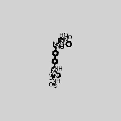 COC(=O)N[C@@H](C)C(=O)N1CCCC1c1ncc(-c2ccc(-c3ccc(-c4cnc(C5CCCN5C(=O)[C@H]5CCCC[C@H]5NC(=O)O)[nH]4)cc3)cc2)[nH]1